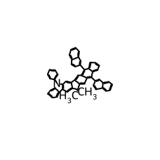 CC1(C)c2cc3c(-c4ccc5ccccc5c4)c4ccccc4c(-c4ccc5ccccc5c4)c3cc2-c2cc3c(cc21)c1ccccc1n3-c1ccccc1